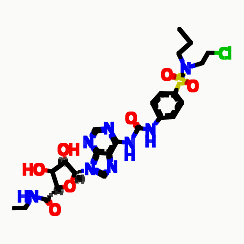 CCCN(CCCl)S(=O)(=O)c1ccc(NC(=O)Nc2ncnc3c2ncn3[C@@H]2O[C@H](C(=O)NCC)C(O)[C@@H]2O)cc1